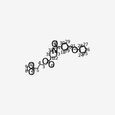 O=C(OCCCC1OCCO1)C1CCN(C(=O)c2ccc(COc3ccccc3)cc2)CC1